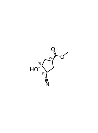 COC(=O)[C@@H]1C[C@@H](O)[C@H](C#N)C1